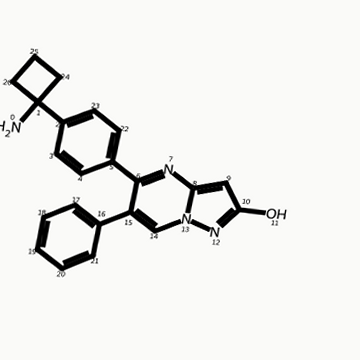 NC1(c2ccc(-c3nc4cc(O)nn4cc3-c3ccccc3)cc2)CCC1